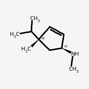 CN[C@@H]1C=C[C@@](C)(C(C)C)C1